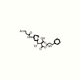 CCC[C@@]1(CCc2ccccc2)CC(O)=C([C@H](CC)c2cccc(NC(=O)CCC(C)=O)c2)C(=O)O1